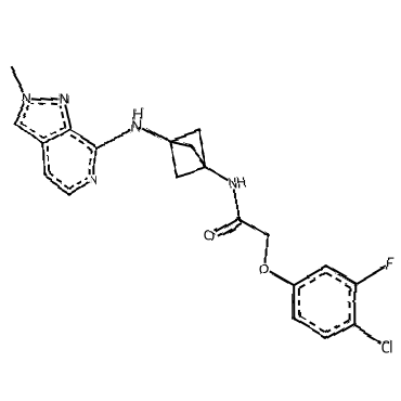 Cn1cc2ccnc(NC34CC(NC(=O)COc5ccc(Cl)c(F)c5)(C3)C4)c2n1